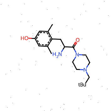 Cc1cc(O)cc(C)c1CC(N)C(=O)N1CCN(CC(C)(C)C)CC1